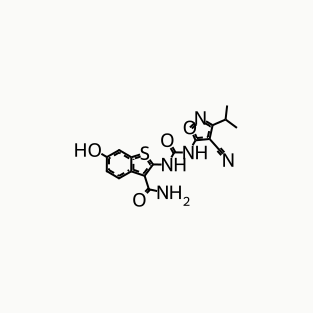 CC(C)c1noc(NC(=O)Nc2sc3cc(O)ccc3c2C(N)=O)c1C#N